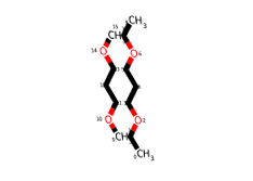 CCOCCCOCC.COCCCOC